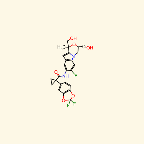 CC1(CO)OC(CO)Cn2c1cc1cc(NC(=O)C3(c4ccc5c(c4)OC(F)(F)O5)CC3)c(F)cc12